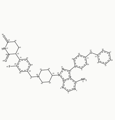 Nc1ncnc2c1c(-c1ccc(Oc3ccccc3)cc1)nn2C1CCN(Cc2ccc(C3CCC(=O)NC3=O)c(F)c2)CC1